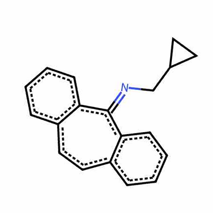 c1ccc2c(=NCC3CC3)c3ccccc3ccc2c1